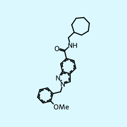 COc1ccccc1Cn1cc2ccc(C(=O)NCC3CCCCCC3)cc2n1